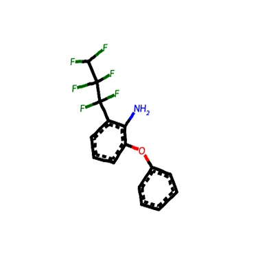 Nc1c(Oc2ccccc2)cccc1C(F)(F)C(F)(F)C(F)F